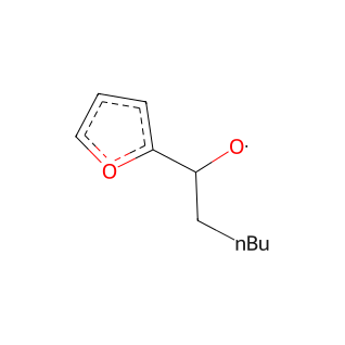 CCCCCC([O])c1ccco1